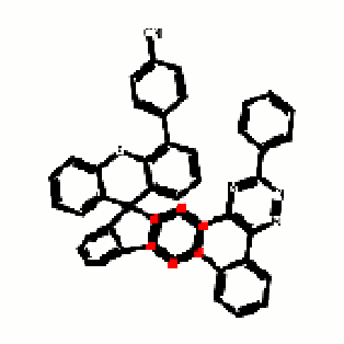 N#Cc1ccc(-c2cccc3c2Sc2ccccc2C32c3ccccc3-c3cc(-c4ccccc4-c4nnc(-c5ccccc5)nc4-c4ccccc4)ccc32)cc1